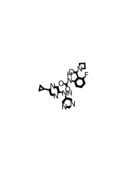 O=C(Nc1cccc(F)c1C(=O)N1CCC1)Oc1nc(C2CC2)cnc1Nc1cncnc1